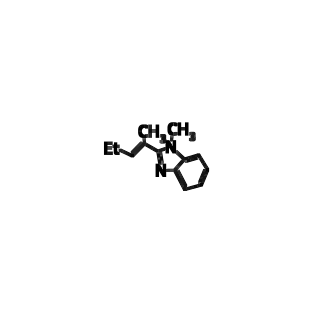 CCC=C(C)c1nc2ccccc2n1C